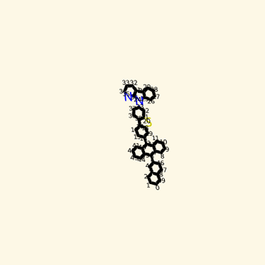 c1ccc2cc(-c3c4ccccc4c(-c4ccc5c(c4)sc4cc(-n6c7ccccc7c7cccnc76)ccc45)c4ccccc34)ccc2c1